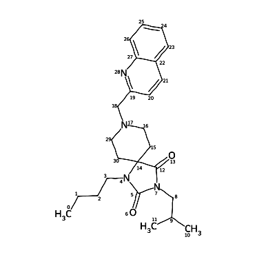 CCCCN1C(=O)N(CC(C)C)C(=O)C12CCN(Cc1ccc3ccccc3n1)CC2